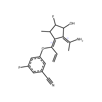 C=C/C(Oc1cc(F)cc(C#N)c1)=C1\C(=C(/C)N)C(O)C(F)C1C